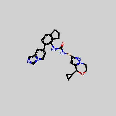 O=C(NSc1cc2n(n1)CCOC2C1CC1)Nc1c(-c2ccn3cncc3c2)ccc2c1CCC2